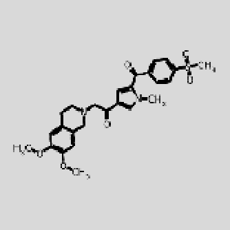 COc1cc2c(cc1OC)CN(CC(=O)c1cc(C(=O)c3ccc(S(C)(=O)=O)cc3)n(C)c1)CC2